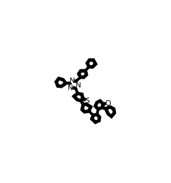 c1ccc(-c2ccc(-c3nc(-c4ccccc4)nc(-c4ccc5c(c4)sc4cc(-c6ccccc6-c6cccc7oc8ccccc8c67)ccc45)n3)cc2)cc1